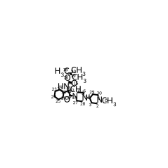 CN1CCC(N2CCN(C(=O)[C@@](C)(NC(=O)OC(C)(C)C)C3CCCCC3)CC2)CC1